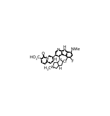 CNc1cc(F)c(Cl)c2c1[nH]c1ncc(-c3ccc4ccc(C(=O)O)c(=O)n4c3)c(N3CC[C@H]4CN(C)C[C@H]43)c12